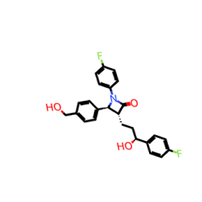 O=C1[C@H](CC[C@H](O)c2ccc(F)cc2)[C@@H](c2ccc(CO)cc2)N1c1ccc(F)cc1